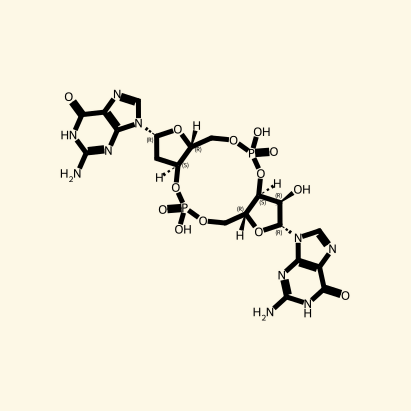 Nc1nc2c(ncn2[C@@H]2O[C@@H]3COP(=O)(O)O[C@H]4C[C@H](n5cnc6c(=O)[nH]c(N)nc65)O[C@@H]4COP(=O)(O)O[C@H]3[C@H]2O)c(=O)[nH]1